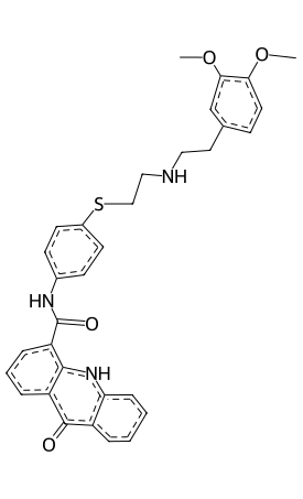 COc1ccc(CCNCCSc2ccc(NC(=O)c3cccc4c(=O)c5ccccc5[nH]c34)cc2)cc1OC